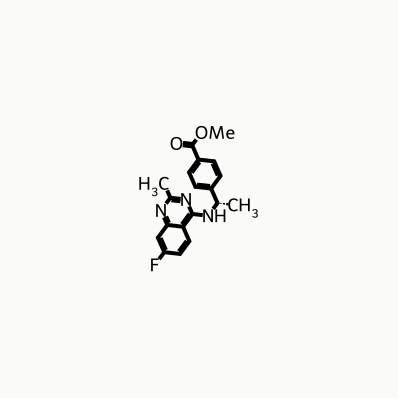 COC(=O)c1ccc([C@H](C)Nc2nc(C)nc3cc(F)ccc23)cc1